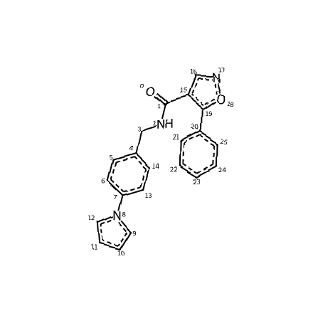 O=C(NCc1ccc(-n2cccc2)cc1)c1cnoc1-c1ccccc1